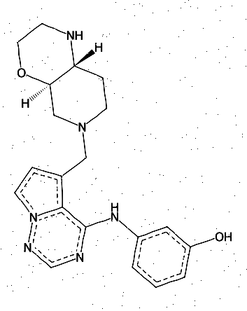 Oc1cccc(Nc2ncnn3ccc(CN4CC[C@H]5NCCO[C@@H]5C4)c23)c1